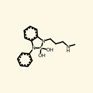 CNCCCN1c2ccccc2N(c2ccccc2)S1(O)O